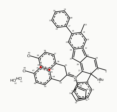 CCCCC1(c2ccccc2)C(C)=CC2=c3cc(C)c(-c4ccccc4)cc3=CC2=[C]1[Zr]([C]1=CC=CC1)=[C](Cc1ccc(Cl)cc1)Cc1ccc(Cl)cc1.Cl.Cl